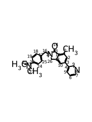 Cc1cc(-c2cccnc2)cc2c1C(=O)N(Cc1ccc(N(C)C)cc1)C2